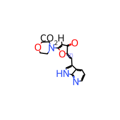 O=C(O)C1=C(N2CCOCC2)O/C(=C\c2c[nH]c3ncccc23)C1=O